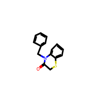 O=C1CSc2ccccc2N1Cc1ccccc1